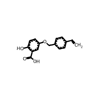 C=Cc1ccc(COc2ccc(O)c(C(=O)O)c2)cc1